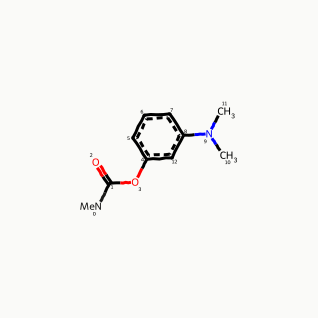 CNC(=O)Oc1cccc(N(C)C)c1